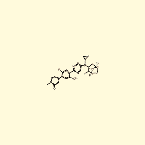 Cn1ccc(-c2cc(O)c(-c3ncc(N(C4CC4)C4C[C@H]5CC[C@H](N5)C4F)nn3)cc2F)cc1=O